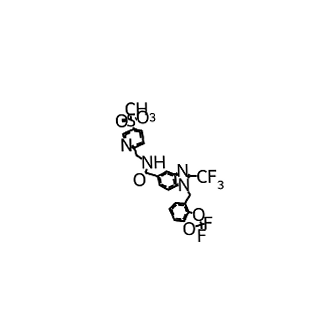 CS(=O)(=O)c1ccc(CNC(=O)c2ccc3c(c2)nc(C(F)(F)F)n3Cc2cccc3c2OC(F)(F)O3)nc1